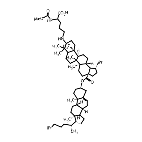 COC(=O)NC(CCCNC1CC[C@@]2(C)C(CC[C@]3(C)[C@@H]2CC[C@@H]2C4[C@H](C(C)C)CC[C@]4(C(=O)O[C@@H]4CC[C@@]5(C)C(=CC[C@H]6[C@@H]7CC[C@H]([C@H](C)CCCC(C)C)[C@@]7(C)CC[C@@H]65)C4)CC[C@]23C)C1(C)C)C(=O)O